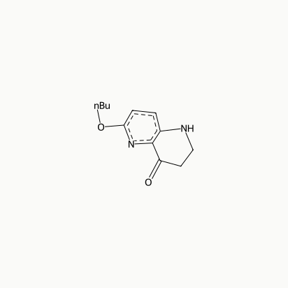 CCCCOc1ccc2c(n1)C(=O)CCN2